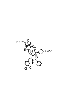 COc1ccc(C(NC(=O)C(Cc2ccc(Cl)c(Cl)c2)NC(=O)c2ccccn2)C(=O)NC(C(=O)C(F)(F)C(=O)NCC(F)(F)F)C(C)C)cc1